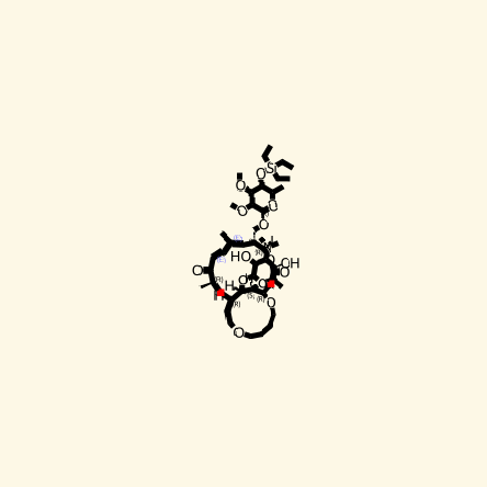 CC[Si](CC)(CC)OC1C(C)O[C@@H](OC[C@H]2/C=C(C)/C=C/C(=O)[C@H](C)C[C@@H]3CCOCCCCO[C@H](CC(=O)O[C@@H]2I)[C@H](C)[C@H]3OC2OC(C)[C@@H](O)C(N(C)C)C2O)C(OC)C1OC